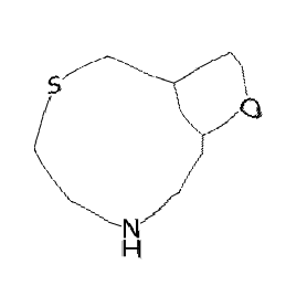 C1CSCC2COC2CN1